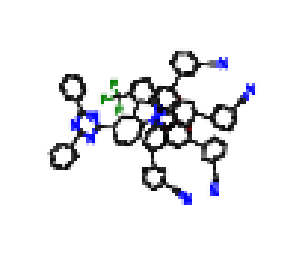 N#Cc1cccc(-c2ccc3c(c2)c2cc(-c4cccc(C#N)c4)ccc2n3C2=CC=CC(c3nc(-c4ccccc4)nc(-c4ccccc4)n3)C=C2c2c(-n3c4ccc(-c5cccc(C#N)c5)cc4c4cc(-c5cccc(C#N)c5)ccc43)cccc2C(F)(F)F)c1